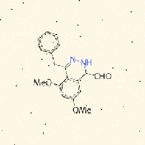 COc1cc(OC)c2c(c1)C(C=O)NN=C2Cc1ccccc1